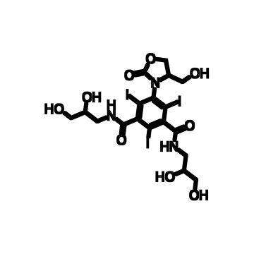 O=C(NCC(O)CO)c1c(I)c(C(=O)NCC(O)CO)c(I)c(N2C(=O)OCC2CO)c1I